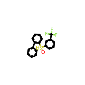 O=[SH]1(c2cccc(C(F)(F)F)c2)c2ccccc2-c2ccccc21